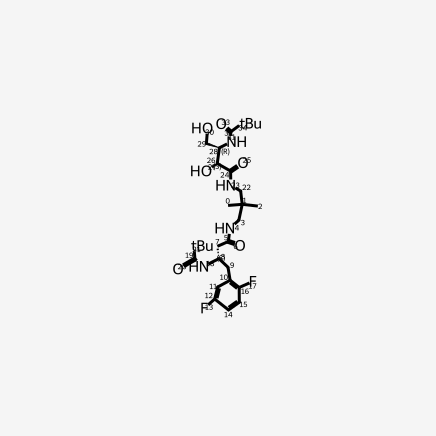 CC(C)(CNC(=O)C[C@H](Cc1cc(F)ccc1F)NC(=O)C(C)(C)C)CNC(=O)[C@@H](O)[C@@H](CO)NC(=O)C(C)(C)C